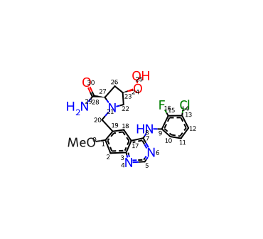 COc1cc2ncnc(Nc3cccc(Cl)c3F)c2cc1CN1C[C@H](OO)C[C@@H]1C(N)=O